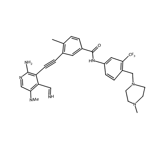 CNc1cnc(N)c(C#Cc2cc(C(=O)Nc3ccc(CN4CCN(C)CC4)c(C(F)(F)F)c3)ccc2C)c1C=N